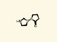 O=C1[CH]CCN1N1CCNC1